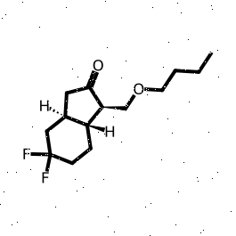 CCCCOC[C@@H]1C(=O)C[C@@H]2CC(F)(F)CC[C@H]21